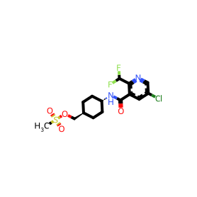 CS(=O)(=O)OC[C@H]1CC[C@H](NC(=O)c2cc(Cl)cnc2C(F)F)CC1